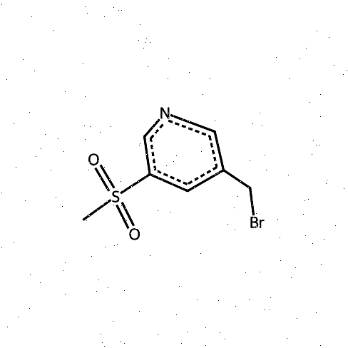 CS(=O)(=O)c1cncc(CBr)c1